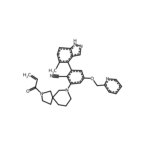 C=CC(=O)N1CCC2(CCCN(c3cc(OCc4ccccn4)cc(-c4c(C)ccc5[nH]ncc45)c3C#N)C2)C1